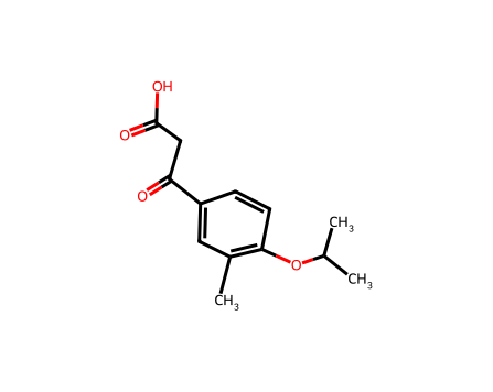 Cc1cc(C(=O)CC(=O)O)ccc1OC(C)C